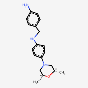 C[C@@H]1CN(c2ccc(NCc3ccc(N)cc3)cc2)C[C@H](C)O1